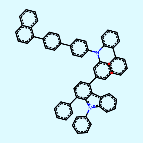 c1ccc(-c2ccccc2N(c2ccc(-c3ccc(-c4cccc5ccccc45)cc3)cc2)c2cccc(-c3ccc(-c4ccccc4)c4c3c3ccccc3n4-c3ccccc3)c2)cc1